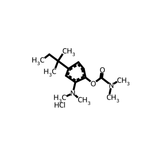 CCC(C)(C)c1ccc(OC(=O)N(C)C)c(N(C)C)c1.Cl